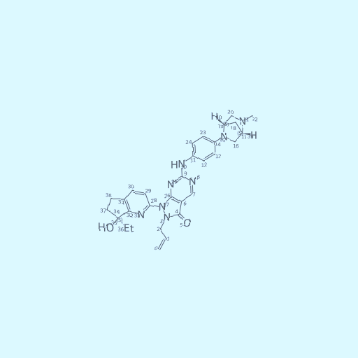 C=CCn1c(=O)c2cnc(Nc3ccc(N4C[C@@H]5C[C@H]4CN5C)cc3)nc2n1-c1ccc2c(n1)[C@](O)(CC)CC2